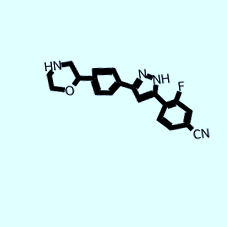 N#Cc1ccc(-c2cc(-c3ccc(C4CNCCO4)cc3)n[nH]2)c(F)c1